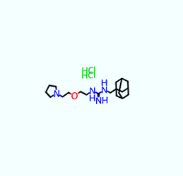 Cl.Cl.N=C(NCCOCCN1CCCC1)NCC12CC3CC(CC(C3)C1)C2